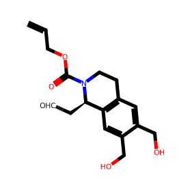 C=CCOC(=O)N1CCc2cc(CO)c(CO)cc2[C@H]1CC=O